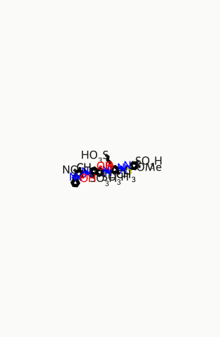 COc1cc2sc(N=Nc3cc(OCCCS(=O)(=O)O)c(N=Nc4c(S(=O)(=O)O)cc5c(S(=O)(=O)O)c(N=Nc6c(C)c(C#N)c7nc8ccccc8n7c6O)ccc5c4O)cc3C)nc2cc1S(=O)(=O)O